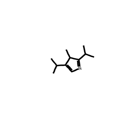 CC(C)C1=CN=C(C(C)C)C1C